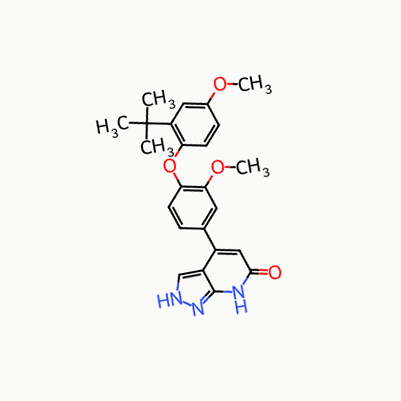 COc1ccc(Oc2ccc(-c3cc(=O)[nH]c4n[nH]cc34)cc2OC)c(C(C)(C)C)c1